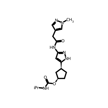 CC(C)NC(=O)O[C@@H]1CC[C@H](c2cc(NC(=O)Cc3cnn(C)c3)n[nH]2)C1